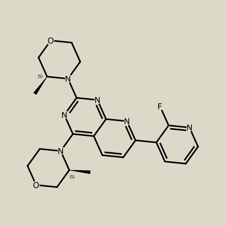 C[C@H]1COCCN1c1nc(N2CCOC[C@@H]2C)c2ccc(-c3cccnc3F)nc2n1